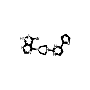 Brc1n[nH]c2ncnc(N3CCN(c4nccc(-c5ccco5)n4)CC3)c12